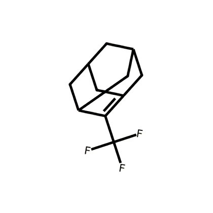 FC(F)(F)C1=C2CC3CC(C2)CC1C3